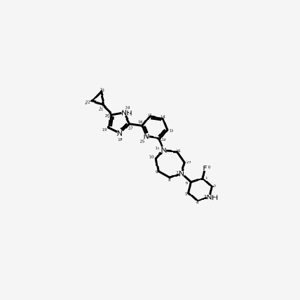 FC1CNCCC1N1CCCN(c2cccc(-c3ncc(C4CC4)[nH]3)n2)CC1